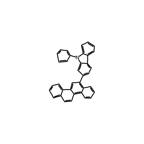 c1ccc(-n2c3ccccc3c3ccc(-c4cc5c6ccccc6ccc5c5ccccc45)cc32)cc1